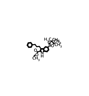 CCOC(=O)c1[nH]c2ccc(B3OC(C)(C)C(C)(C)O3)cc2c1CCCc1ccccc1